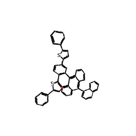 c1ccc(-c2ccc(-c3ccc(-c4ccc(-c5ccccc5)s4)c(-c4c5ccccc5c(-c5cccc6ccccc56)c5ccccc45)c3)s2)cc1